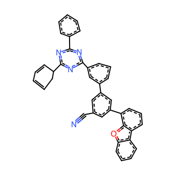 N#Cc1cc(-c2cccc(-c3nc(-c4ccccc4)nc(C4C=CC=CC4)n3)c2)cc(-c2cccc3c2oc2ccccc23)c1